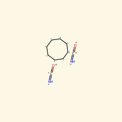 C1CCCCCCC1.N=C=O.N=C=O